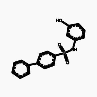 O=S(=O)(Nc1cccc(O)c1)c1ccc(-c2ccccc2)cc1